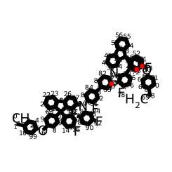 C=Cc1ccc(Oc2ccc(C3(c4ccc(F)cc4)c4ccccc4-c4ccc(N(c5ccc(-c6ccc(N7c8ccc9c(c8)C(c8ccc(F)cc8)(c8ccccc8-9)c8ccc(Oc9ccc(C=C)cc9)cc8-c8ccc(F)c(F)c87)cc6)cc5)c5c(F)ccc(F)c5F)cc43)cc2)cc1